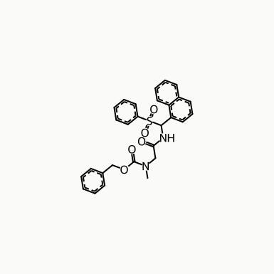 CN(CC(=O)NC(c1cccc2ccccc12)S(=O)(=O)c1ccccc1)C(=O)OCc1ccccc1